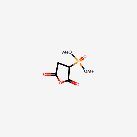 COP(=O)(OC)C1CC(=O)OC1=O